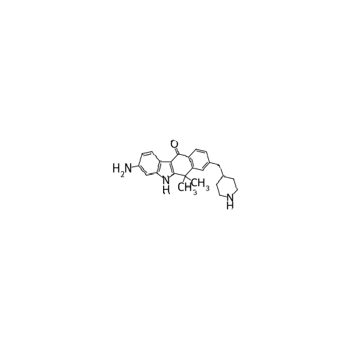 CC1(C)c2cc(CC3CCNCC3)ccc2C(=O)c2c1[nH]c1cc(N)ccc21